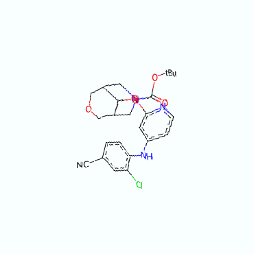 CC(C)(C)OC(=O)N1CC2COCC(C1)C2Oc1cc(Nc2ccc(C#N)cc2Cl)ccn1